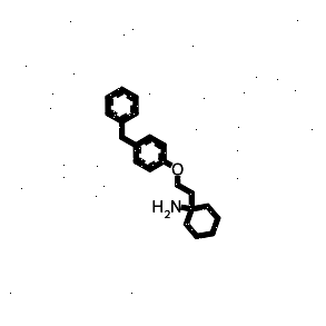 NC1(CCOc2ccc(Cc3ccccc3)cc2)CCCCC1